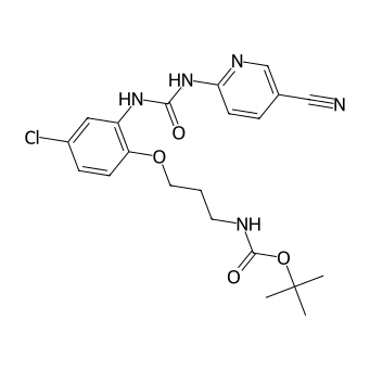 CC(C)(C)OC(=O)NCCCOc1ccc(Cl)cc1NC(=O)Nc1ccc(C#N)cn1